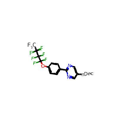 CCCCCCCCCCc1cnc(-c2ccc(OC(F)(F)C(F)(F)C(F)(F)C(F)(F)F)cc2)nc1